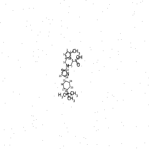 Cc1ccc(CN(CCC(=O)O)c2nc([C@H]3CC[C@H](C(C)(C)C)CC3)cs2)s1